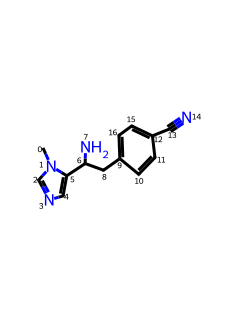 Cn1cncc1C(N)Cc1ccc(C#N)cc1